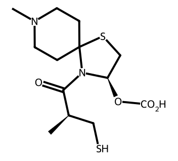 C[C@H](CS)C(=O)N1[C@H](OC(=O)O)CSC12CCN(C)CC2